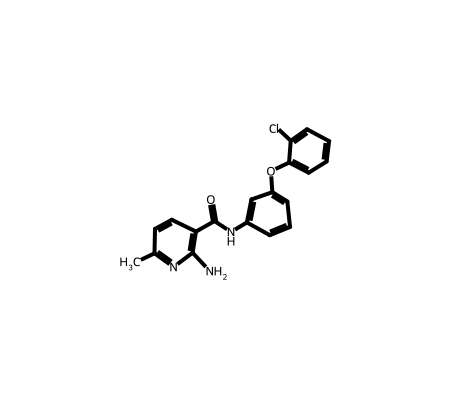 Cc1ccc(C(=O)Nc2cccc(Oc3ccccc3Cl)c2)c(N)n1